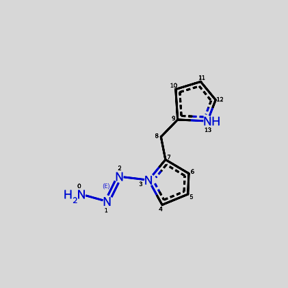 N/N=N/n1cccc1Cc1ccc[nH]1